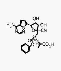 CC(NP(=O)(OC[C@@]1(C#N)O[C@@H](c2ccc3c(N)ncnn23)[C@H](O)[C@@H]1O)Oc1ccccc1)C(=O)O